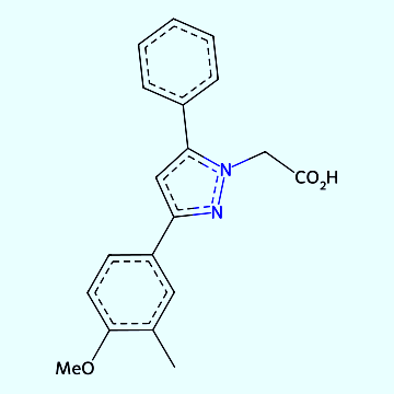 COc1ccc(-c2cc(-c3ccccc3)n(CC(=O)O)n2)cc1C